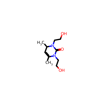 CC1=CC(C)N(CCO)C(=O)N1CCO